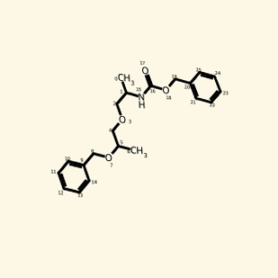 CC(COCC(C)OCc1ccccc1)NC(=O)OCc1ccccc1